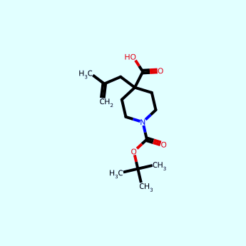 C=C(C)CC1(C(=O)O)CCN(C(=O)OC(C)(C)C)CC1